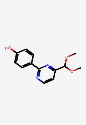 COC(OC)c1ccnc(-c2ccc(O)cc2)n1